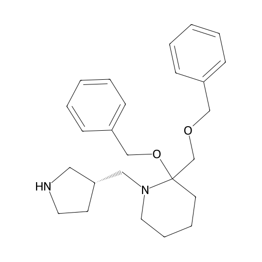 c1ccc(COCC2(OCc3ccccc3)CCCCN2C[C@@H]2CCNC2)cc1